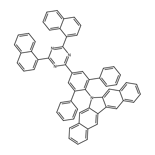 c1ccc(-c2cc(-c3nc(-c4cccc5ccccc45)nc(-c4cccc5ccccc45)n3)cc(-c3ccccc3)c2-n2c3cc4ccccc4cc3c3cc4ccccc4cc32)cc1